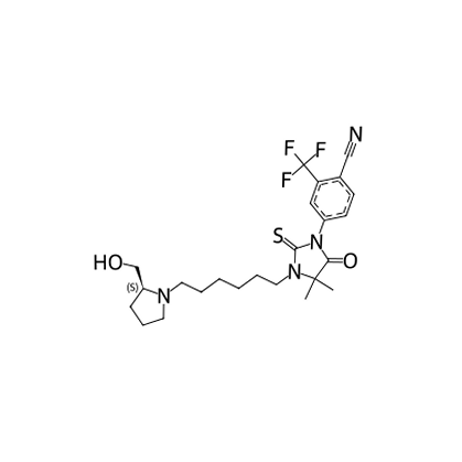 CC1(C)C(=O)N(c2ccc(C#N)c(C(F)(F)F)c2)C(=S)N1CCCCCCN1CCC[C@H]1CO